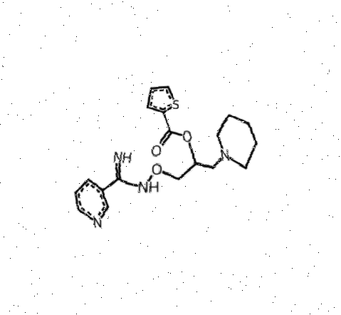 N=C(NOCC(CN1CCCCC1)OC(=O)c1cccs1)c1cccnc1